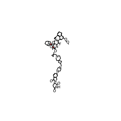 C#Cc1cccc2cc(OCOC)cc(-c3ncc4c(N5CC6CCC(C5)N6C(=O)OC(C)(C)C)nc(OCC5(CN6CCC7(CC6)CC(CN6CCN(c8ccc9c(c8)CN([C@H]8CCC(=O)NC8=O)C9=O)CC6)C7)CC5)nc4c3F)c12